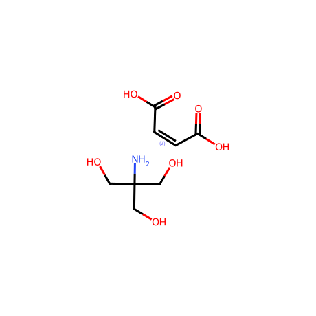 NC(CO)(CO)CO.O=C(O)/C=C\C(=O)O